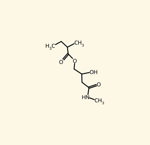 CCC(C)C(=O)OCC(O)CC(=O)NC